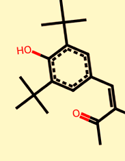 CC(=O)C(C)=Cc1cc(C(C)(C)C)c(O)c(C(C)(C)C)c1